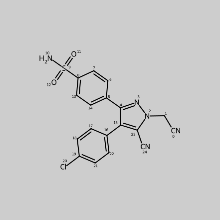 N#CCn1nc(-c2ccc(S(N)(=O)=O)cc2)c(-c2ccc(Cl)cc2)c1C#N